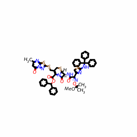 COC(C)(C)O/N=C(\C(=O)N[C@@H]1C(=O)N2C(C(=O)OC(c3ccccc3)c3ccccc3)=C(CSc3nn4c(=O)cc(C)nc4s3)CS[C@H]12)c1csc(NC(c2ccccc2)(c2ccccc2)c2ccccc2)n1